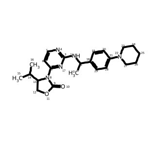 CC(Nc1nccc(N2C(=O)OCC2C(C)C)n1)c1ccc(N2CCCCC2)cc1